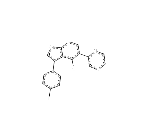 Fc1ccc(-c2c[nH]c3ncc(-c4cnccn4)c(Cl)c23)cc1